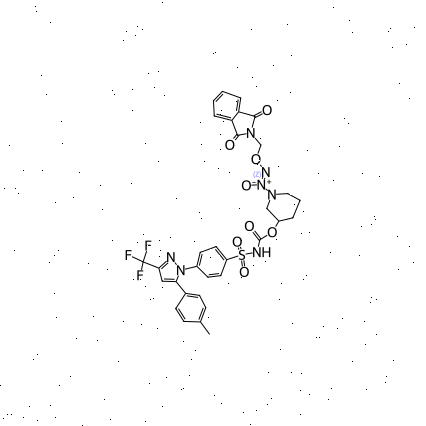 Cc1ccc(-c2cc(C(F)(F)F)nn2-c2ccc(S(=O)(=O)NC(=O)OC3CCCN(/[N+]([O-])=N/OCN4C(=O)c5ccccc5C4=O)C3)cc2)cc1